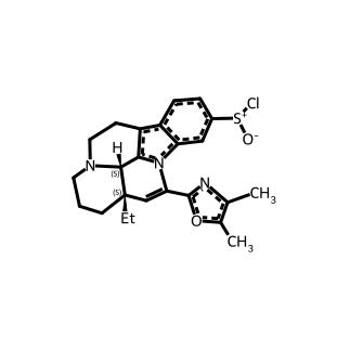 CC[C@@]12C=C(c3nc(C)c(C)o3)n3c4c(c5ccc([S+]([O-])Cl)cc53)CCN(CCC1)[C@H]42